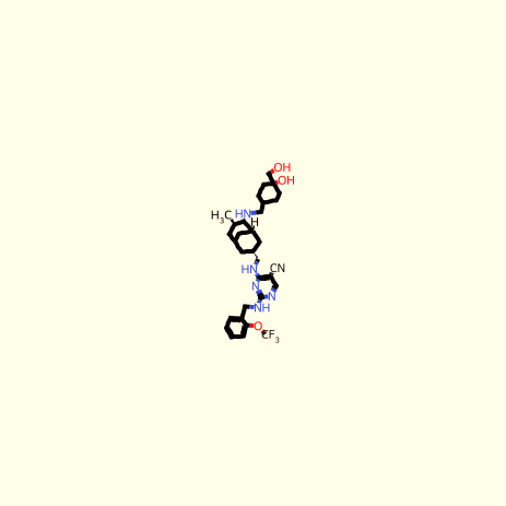 C[C@@H]1CC2C[C@@H](CNc3nc(NCc4ccccc4OC(F)(F)F)ncc3C#N)C[C@@H](C2)[C@H]1NCC1CCC(O)(CO)CC1